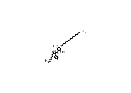 CCCCCCCCCCCCCCCCSc1cc(O)c(Sc2nnc(CCCCC)n2-c2ccccc2)cc1O